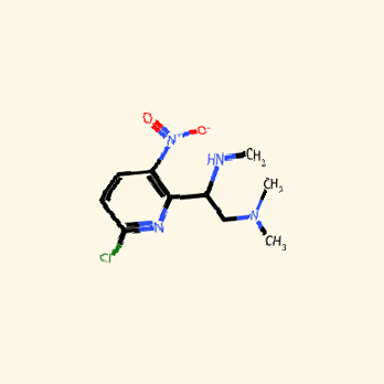 CNC(CN(C)C)c1nc(Cl)ccc1[N+](=O)[O-]